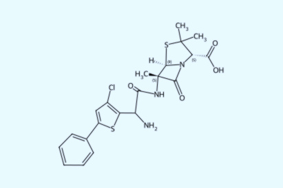 CC1(C)S[C@H]2N(C(=O)[C@]2(C)NC(=O)C(N)c2sc(-c3ccccc3)cc2Cl)[C@H]1C(=O)O